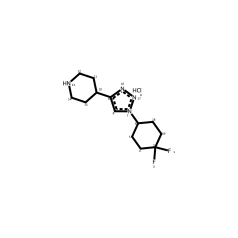 Cl.FC1(F)CCC(n2cc(C3CCNCC3)nn2)CC1